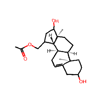 CC(=O)OCC1CC(O)[C@@]2(C)CC[C@@H]3[C@@H](CC=C4CC(O)CC[C@@]43C)[C@H]12